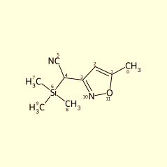 Cc1cc(C(C#N)[Si](C)(C)C)no1